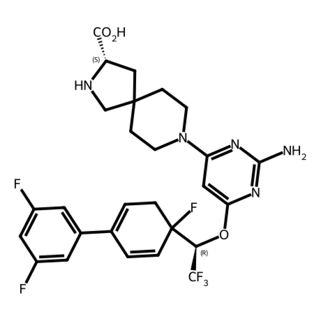 Nc1nc(O[C@@H](C(F)(F)F)C2(F)C=CC(c3cc(F)cc(F)c3)=CC2)cc(N2CCC3(CC2)CN[C@H](C(=O)O)C3)n1